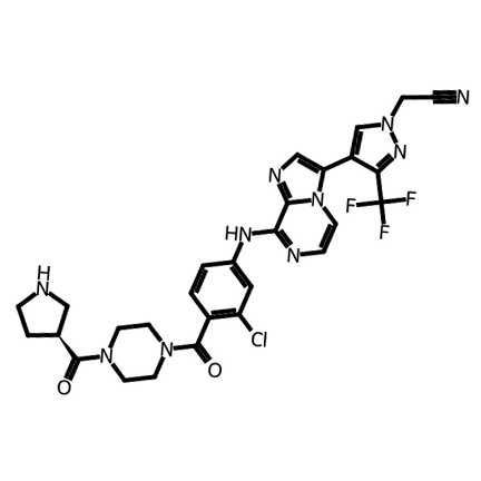 N#CCn1cc(-c2cnc3c(Nc4ccc(C(=O)N5CCN(C(=O)[C@H]6CCNC6)CC5)c(Cl)c4)nccn23)c(C(F)(F)F)n1